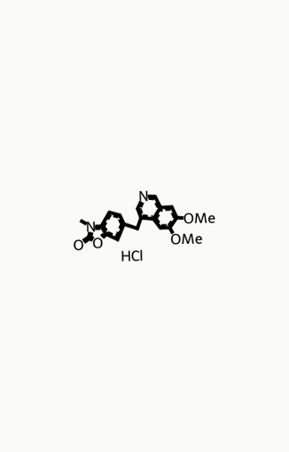 COc1cc2cncc(Cc3ccc4c(c3)oc(=O)n4C)c2cc1OC.Cl